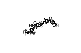 Cc1cc(C(=O)N2CCC(O)(CF)CC2)cc(C)c1/C=C/S(=O)(=O)N1CCC2(CC1)N=C(c1ccc(OC(C)(C)C(F)(F)F)c(C(F)(F)F)c1)NC2=O